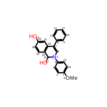 COc1ccc(N2C=C(c3ccccc3)c3cc(O)ccc3C2O)cc1